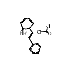 N=C1C=CC=CC1C=Cc1ccccc1.O=C(Cl)Cl